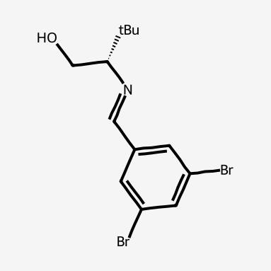 CC(C)(C)[C@@H](CO)/N=C/c1cc(Br)cc(Br)c1